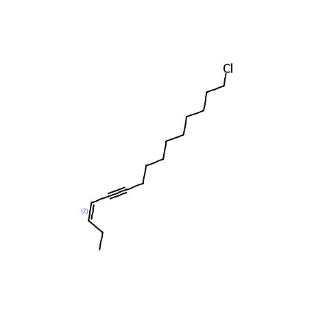 CC/C=C\C#CCCCCCCCCCCl